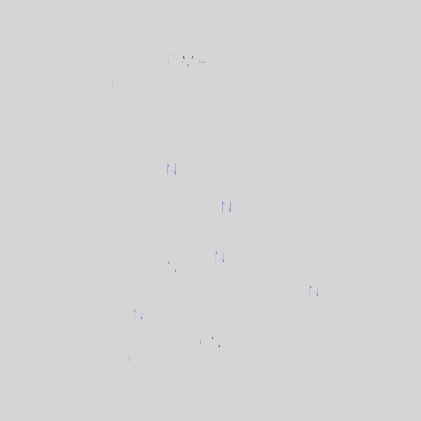 C=CC(=O)N1CCN(c2nc(OC[C@@H]3CCCN3C)nc3c2CCCN(c2ccc(OC)c(Cl)c2)C3)CC1CC#N